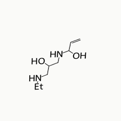 C=CC(O)NCC(O)CNCC